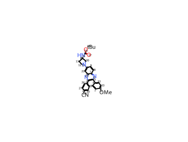 COc1ccc(-c2nc3ccc(N4CC[C@H](NC(=O)OC(C)(C)C)C4)cc3nc2-c2ccc(C#N)cc2)cc1